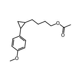 COc1ccc(C2CC2CCCCOC(C)=O)cc1